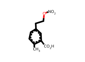 Cc1ccc(CCO[N+](=O)[O-])cc1C(=O)O